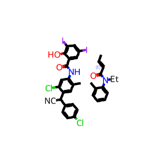 C/C=C/C(=O)N(CC)c1ccccc1C.Cc1cc(C(C#N)c2ccc(Cl)cc2)c(Cl)cc1NC(=O)c1cc(I)cc(I)c1O